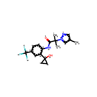 Cc1cnn(C(C)(C)C(=O)Nc2ccc(C(F)(F)F)cc2C2(O)CC2)c1